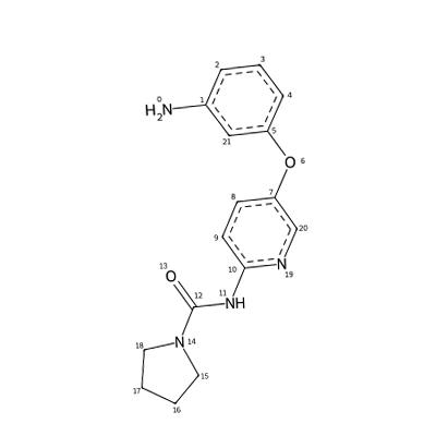 Nc1cccc(Oc2ccc(NC(=O)N3CCCC3)nc2)c1